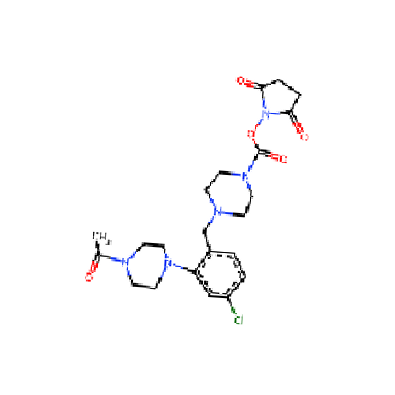 CC(=O)N1CCN(c2cc(Cl)ccc2CN2CCN(C(=O)ON3C(=O)CCC3=O)CC2)CC1